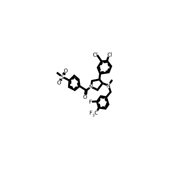 CN(Cc1ccc(C(F)(F)F)c(F)c1)C1CN(C(=O)c2ccc(S(C)(=O)=O)cc2)CC1c1ccc(Cl)c(Cl)c1